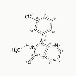 CCn1c(=O)c2cccnc2n1-c1cccc(Cl)c1